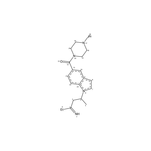 CCC(=N)CC(C)n1ccc2cc(C(=O)N3CCN(C(C)C)CC3)ccc21